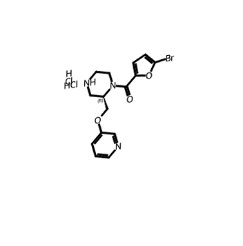 Cl.Cl.O=C(c1ccc(Br)o1)N1CCNC[C@@H]1COc1cccnc1